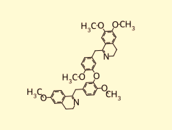 COc1ccc2c(c1)CCN=C2Cc1ccc(OC)c(Oc2cc(CC3=NCCc4cc(OC)c(OC)cc43)ccc2OC)c1